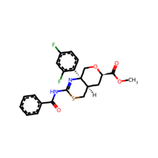 COC(=O)[C@H]1C[C@H]2CSC(NC(=O)c3ccccc3)=N[C@@]2(c2ccc(F)cc2F)CO1